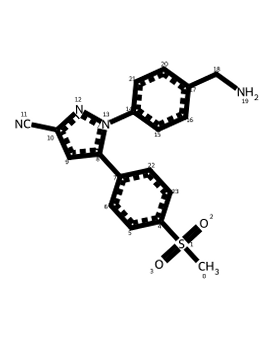 CS(=O)(=O)c1ccc(-c2cc(C#N)nn2-c2ccc(CN)cc2)cc1